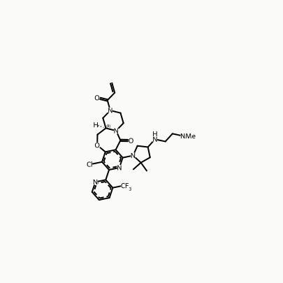 C=CC(=O)N1CCN2C(=O)c3c(N4CC(NCCNC)CC4(C)C)nc(-c4ncccc4C(F)(F)F)c(Cl)c3OC[C@H]2C1